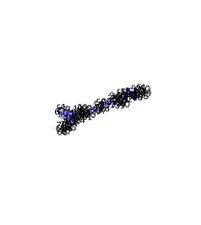 C=C/C=c1/cccc/c1=C/CN(c1ccc2c(c1)C(C)(C)c1cc(/C=C/c3ccc(/C=C/c4ccc5c(c4)C(C)(C)c4cc(N6c7cc8ccccc8cc76)ccc4-5)cc3)ccc1-2)c1ccc2ccccc2c1